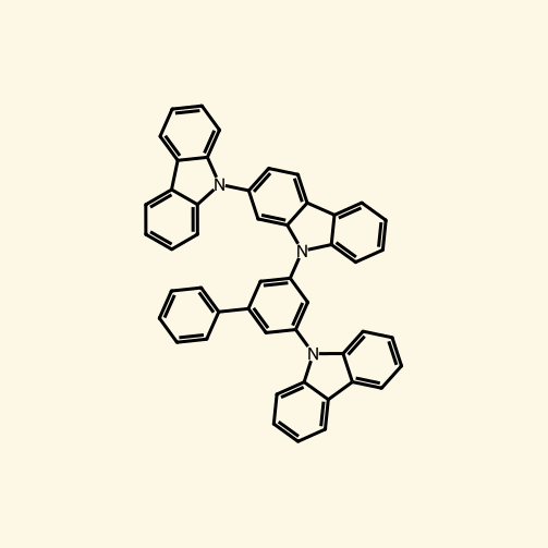 c1ccc(-c2cc(-n3c4ccccc4c4ccccc43)cc(-n3c4ccccc4c4ccc(-n5c6ccccc6c6ccccc65)cc43)c2)cc1